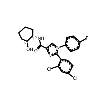 O=C(N[C@H]1CCCC[C@@H]1O)c1cn(-c2ccc(F)cc2)c(-c2ccc(Cl)cc2Cl)n1